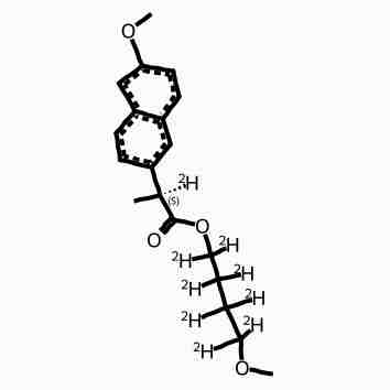 [2H]C([2H])(OC)C([2H])([2H])C([2H])([2H])C([2H])([2H])OC(=O)[C@@]([2H])(C)c1ccc2cc(OC)ccc2c1